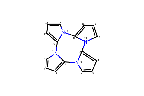 c1cc2n(c1)c1cccn1c1cccn1c1cccn21